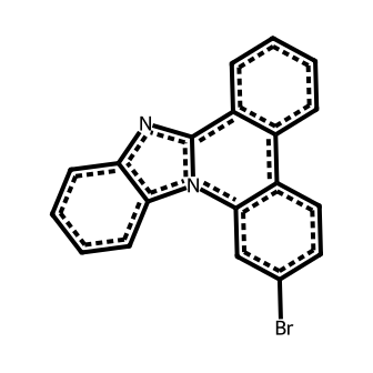 Brc1ccc2c3ccccc3c3nc4ccccc4n3c2c1